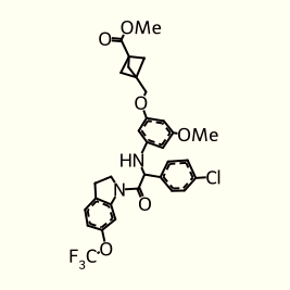 COC(=O)C12CC(COc3cc(NC(C(=O)N4CCc5ccc(OC(F)(F)F)cc54)c4ccc(Cl)cc4)cc(OC)c3)(C1)C2